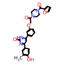 Cc1cc(-c2cc(-c3cccc(OCC(=O)N4CCN(C(=O)c5ccco5)CC4)c3)[nH]c(=O)n2)ccc1O